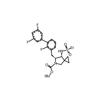 CCS(=O)(=O)N[C@@H]1[C@H](Cc2cccc(-c3cc(F)cc(F)c3)c2F)N(C(=O)OC(C)(C)C)CC12CC2